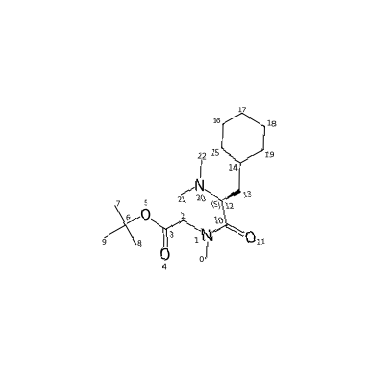 CN(CC(=O)OC(C)(C)C)C(=O)[C@H](CC1CCCCC1)N(C)C